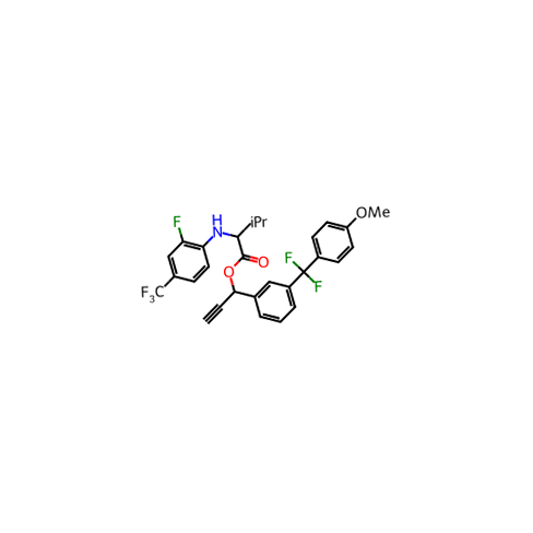 C#CC(OC(=O)C(Nc1ccc(C(F)(F)F)cc1F)C(C)C)c1cccc(C(F)(F)c2ccc(OC)cc2)c1